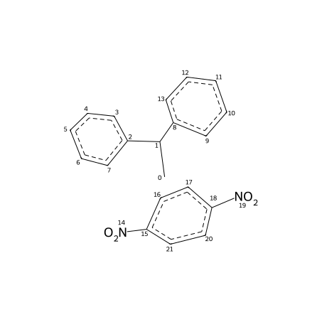 CC(c1ccccc1)c1ccccc1.O=[N+]([O-])c1ccc([N+](=O)[O-])cc1